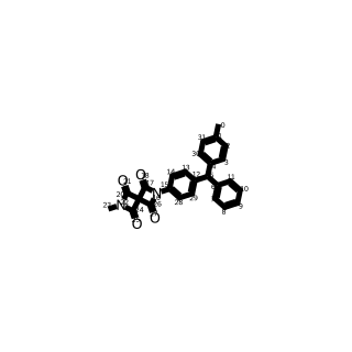 Cc1ccc(C(c2ccccc2)c2ccc(N3C(=O)C4(C(=O)N(C)C4=O)C3=O)cc2)cc1